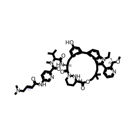 CCn1c(-c2cccnc2[C@H](C)OC)c2c3cc(ccc31)-c1cc(O)cc(c1)C[C@H](NC(=O)C(C(C)C)N(C)C(=O)c1ccc(NC(=O)/C=C/CN(C)C)cn1)C(=O)N1CCC[C@H](N1)C(=O)OCC(C)(C)C2